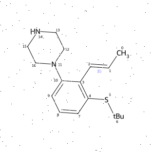 C/C=C/c1c(SC(C)(C)C)cccc1N1CCNCC1